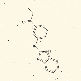 CCC(=O)c1cccc(Nc2nc3ccccc3[nH]2)c1